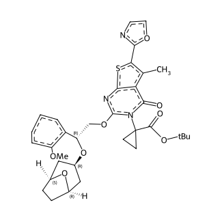 COc1ccccc1[C@H](COc1nc2sc(-c3ncco3)c(C)c2c(=O)n1C1(C(=O)OC(C)(C)C)CC1)O[C@H]1C[C@H]2CC[C@@H](C1)O2